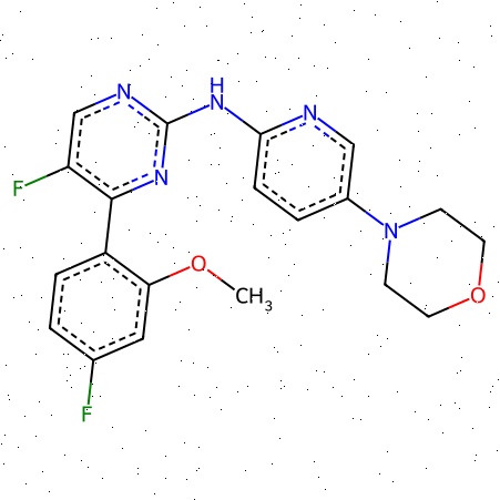 COc1cc(F)ccc1-c1nc(Nc2ccc(N3CCOCC3)cn2)ncc1F